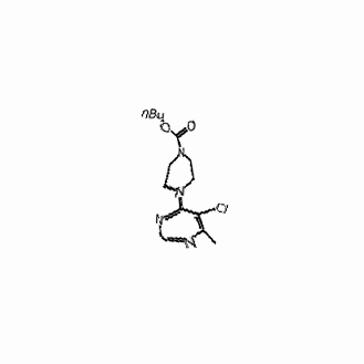 CCCCOC(=O)N1CCN(c2ncnc(C)c2Cl)CC1